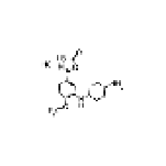 Cl.N[C@H]1CC[C@H](Nc2cc(-c3n[nH]c(=O)o3)ccc2OC(F)(F)F)CC1